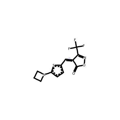 O=C1ON=C(C(F)(F)F)/C1=C/c1ccc(N2CCC2)s1